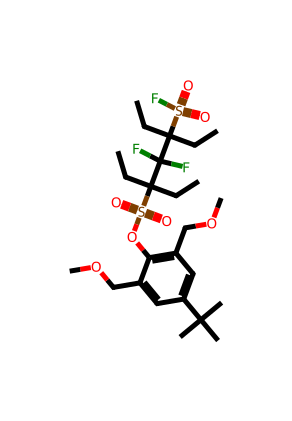 CCC(CC)(C(F)(F)C(CC)(CC)S(=O)(=O)Oc1c(COC)cc(C(C)(C)C)cc1COC)S(=O)(=O)F